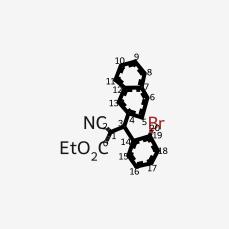 CCOC(=O)C(C#N)C(c1ccc2ccccc2c1)c1ccccc1Br